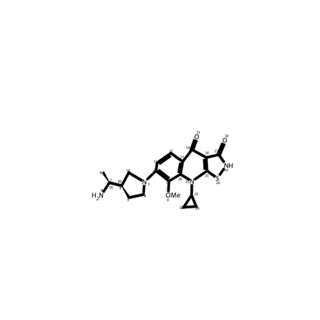 COc1c(N2CC[C@@H]([C@H](C)N)C2)ccc2c(=O)c3c(=O)[nH]sc3n(C3CC3)c12